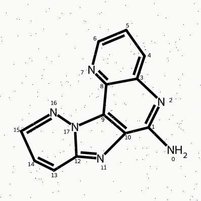 Nc1nc2cccnc2c2c1nc1cccnn12